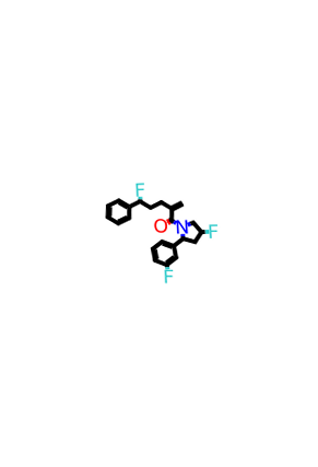 C=C(CCC(F)c1ccccc1)C(=O)N1CC(F)CC1c1cccc(F)c1